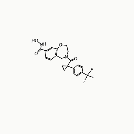 O=C(NO)c1ccc2c(c1)OCCN(C(=O)C1(c3ccc(C(F)(F)F)cc3)CC1)C2